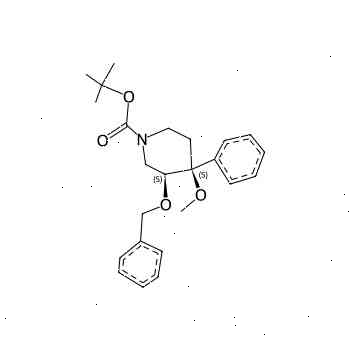 CO[C@]1(c2ccccc2)CCN(C(=O)OC(C)(C)C)C[C@@H]1OCc1ccccc1